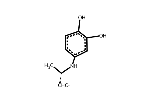 C[C@@H]([C]=O)Nc1ccc(O)c(O)c1